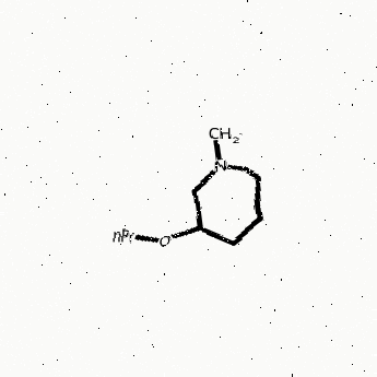 [CH2]N1CCCC(OCCC)C1